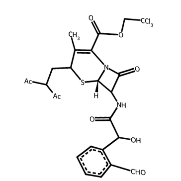 CC(=O)C(CC1S[C@H]2C(NC(=O)C(O)c3ccccc3C=O)C(=O)N2C(C(=O)OCC(Cl)(Cl)Cl)=C1C)C(C)=O